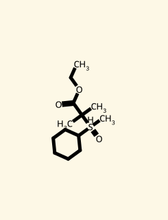 CCOC(=O)C(C)(C)[SH](C)(=O)C1CCCCC1